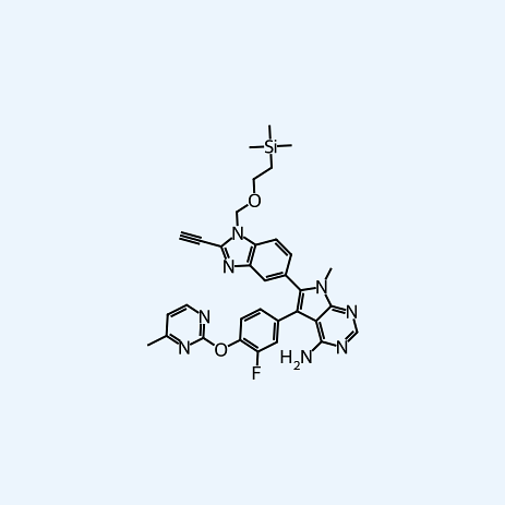 C#Cc1nc2cc(-c3c(-c4ccc(Oc5nccc(C)n5)c(F)c4)c4c(N)ncnc4n3C)ccc2n1COCC[Si](C)(C)C